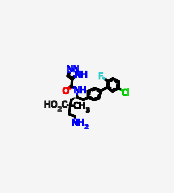 C[C@@](CCN)(C[C@@H](Cc1ccc(-c2cc(Cl)ccc2F)cc1)NC(=O)c1cnn[nH]1)C(=O)O